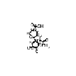 CC(=O)NC[C@@H]1CN(C(=O)O)CCO[C@H]1c1ccc(Cl)c(Cl)c1